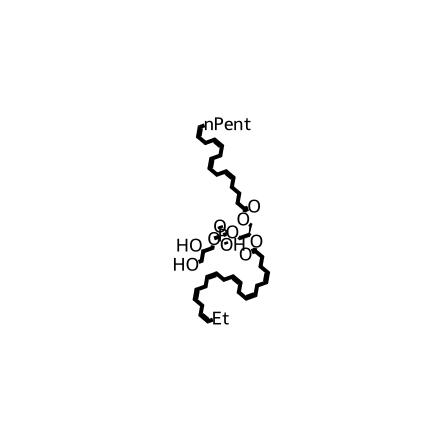 CC/C=C\C/C=C\C/C=C\C/C=C\C/C=C\C/C=C\CCC(=O)O[C@H](COC(=O)CCC/C=C\C/C=C\C/C=C\C/C=C\CCCCC)COP(=O)(O)OC[C@@H](O)CO